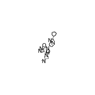 CN(C)C1CCN(C(=O)c2cnn(C)c2C(=O)Nc2ccn3cc(-c4ccccc4)nc3c2)C1